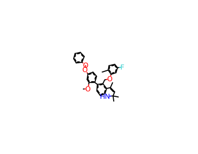 COc1cc(OOc2ccccc2)ccc1-c1ccc2c(c1COc1cc(F)ccc1C)C(C)=CC(C)(C)N2